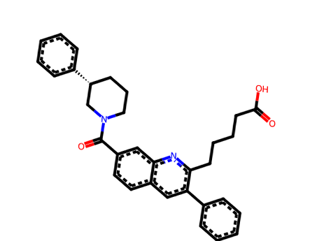 O=C(O)CCCCc1nc2cc(C(=O)N3CCC[C@@H](c4ccccc4)C3)ccc2cc1-c1ccccc1